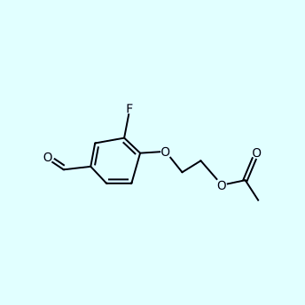 CC(=O)OCCOc1ccc(C=O)cc1F